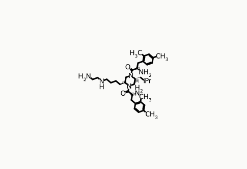 Cc1ccc(C[C@@H](N)C(=O)N2C[C@H](CCCCNCCN)N(C(=O)[C@H](N)Cc3ccc(C)cc3C)C[C@H]2CC(C)C)c(C)c1